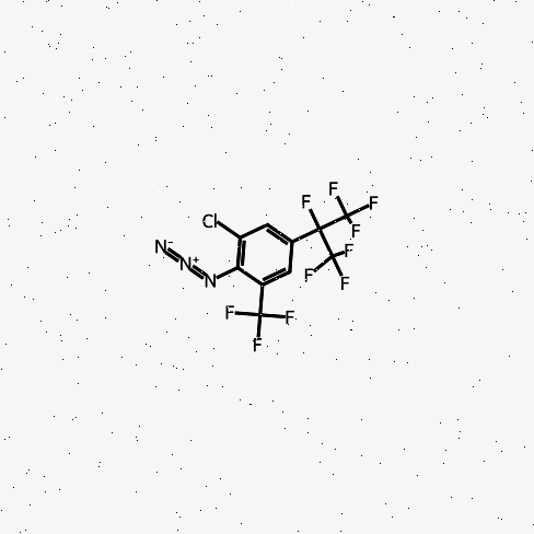 [N-]=[N+]=Nc1c(Cl)cc(C(F)(C(F)(F)F)C(F)(F)F)cc1C(F)(F)F